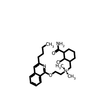 CCCCc1cc2ccccc2c(OCC[N+](C)(C)CC2CCCC(C(N)=O)C2Cl)n1